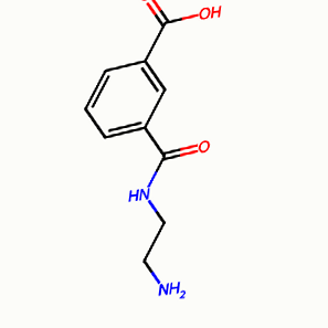 NCCNC(=O)c1cccc(C(=O)O)c1